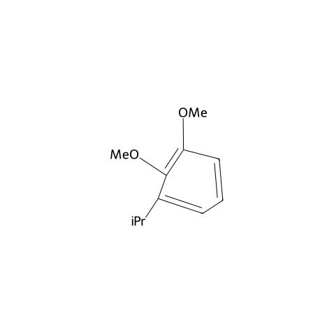 [CH2]Oc1c(OC)cccc1C(C)C